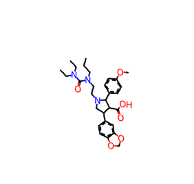 CCCN(CCN1CC(c2ccc3c(c2)OCO3)C(C(=O)O)C1c1ccc(OC)cc1)C(=O)N(CC)CC